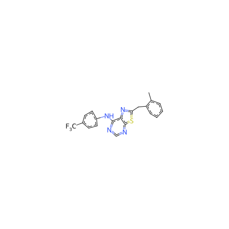 Cc1ccccc1Cc1nc2c(Nc3ccc(C(F)(F)F)cc3)ncnc2s1